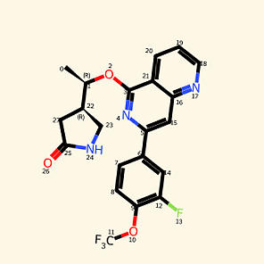 C[C@@H](Oc1nc(-c2ccc(OC(F)(F)F)c(F)c2)cc2ncccc12)[C@H]1CNC(=O)C1